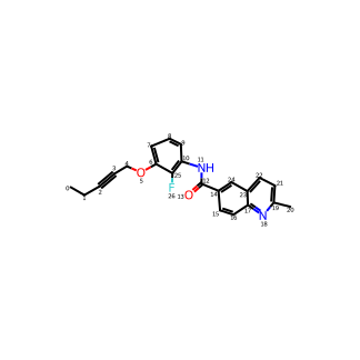 CCC#CCOc1cccc(NC(=O)c2ccc3nc(C)ccc3c2)c1F